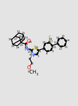 COCCn1cc(-c2ccc(-c3ccccc3)c(F)c2)sc1=NC(=O)C12CC3CC(CC(C3)C1)C2